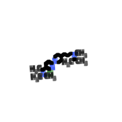 C=C(c1ccc(N2CCC(CCCN(C)C(=C)C)CC2)nc1Cl)N(C)C